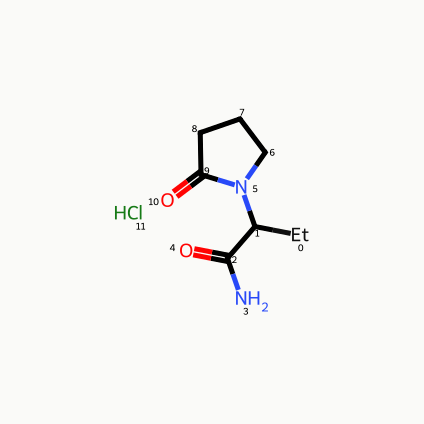 CCC(C(N)=O)N1CCCC1=O.Cl